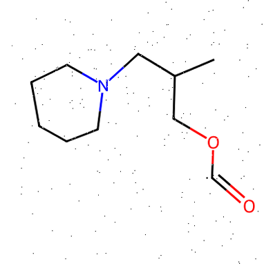 CC(CO[C]=O)CN1CCCCC1